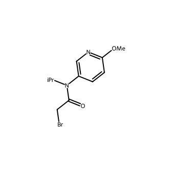 COc1ccc(N(C(=O)CBr)C(C)C)cn1